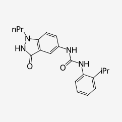 CCCn1[nH]c(=O)c2cc(NC(=O)Nc3ccccc3C(C)C)ccc21